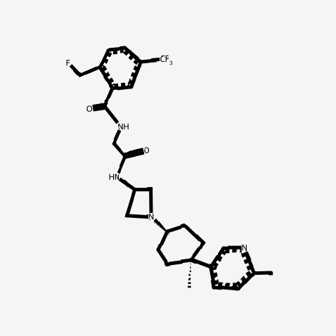 Cc1ccc([C@]2(C)CC[C@H](N3CC(NC(=O)CNC(=O)c4cc(C(F)(F)F)ccc4CF)C3)CC2)cn1